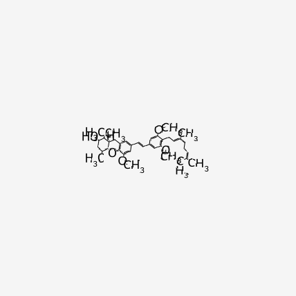 COc1cc(/C=C/c2cc3c(c(OC)c2)OC2[C@@H](C)C[C@@H](O)C(C)(C)[C@H]2C3)cc(OC)c1C/C=C(\C)CCC=C(C)C